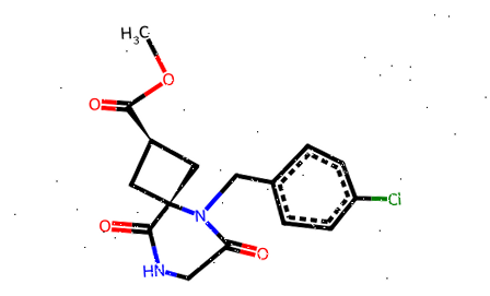 COC(=O)[C@H]1C[C@]2(C1)C(=O)NCC(=O)N2Cc1ccc(Cl)cc1